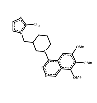 COc1cc2c(N3CCCC(Cn4ccnc4C)C3)nncc2c(OC)c1OC